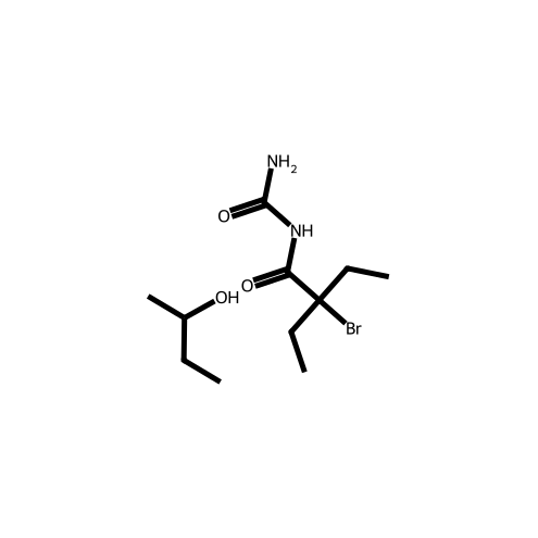 CCC(Br)(CC)C(=O)NC(N)=O.CCC(C)O